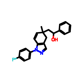 CC1(CC(O)c2ccccc2)C=Cc2c(cnn2-c2ccc(F)cc2)C1